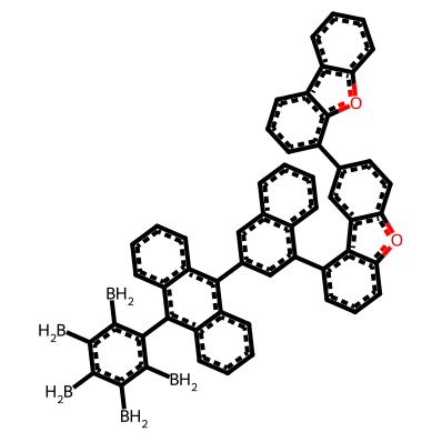 Bc1c(B)c(B)c(-c2c3ccccc3c(-c3cc(-c4cccc5oc6ccc(-c7cccc8c7oc7ccccc78)cc6c45)c4ccccc4c3)c3ccccc23)c(B)c1B